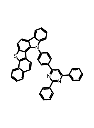 c1ccc(-c2cc(-c3ccc(-n4c5ccccc5c5ccc6sc7c8ccccc8ccc7c6c54)cc3)nc(-c3ccccc3)n2)cc1